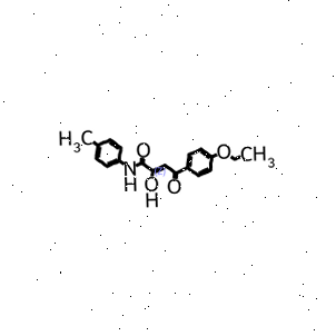 CCOc1ccc(C(=O)/C=C(\O)C(=O)Nc2ccc(C)cc2)cc1